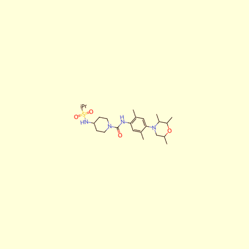 Cc1cc(N2CC(C)OC(C)C2C)c(C)cc1NC(=O)N1CCC(NS(=O)(=O)C(C)C)CC1